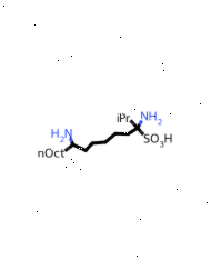 CCCCCCCCC(N)CCCCCC(N)(C(C)C)S(=O)(=O)O